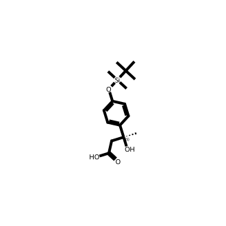 CC(C)(C)[Si](C)(C)Oc1ccc([C@@](C)(O)CC(=O)O)cc1